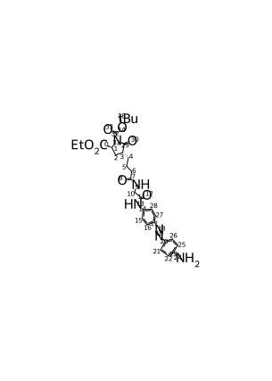 CCOC(=O)[C@@H]1C[C@@H](CCCC(=O)NCC(=O)Nc2ccc(/N=N/c3ccc(N)cc3)cc2)C(=O)N1C(=O)OC(C)(C)C